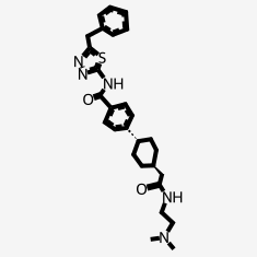 CN(C)CCNC(=O)C[C@H]1CC[C@H](c2ccc(C(=O)Nc3nnc(Cc4ccccc4)s3)cc2)CC1